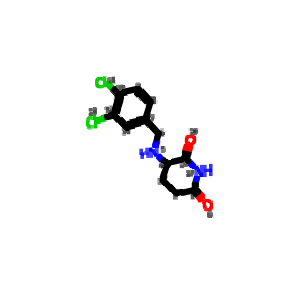 O=C1CCC(NCc2ccc(Cl)c(Cl)c2)C(=O)N1